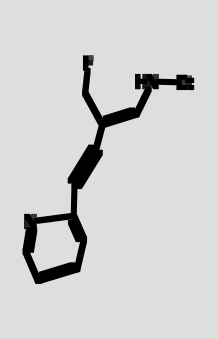 CCN/C=C(/C#Cc1ccccn1)CF